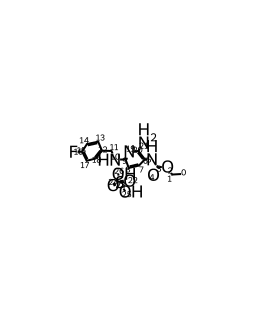 CCOC(=O)Nc1ccc(NCc2ccc(F)cc2)nc1N.O=S(=O)(O)O